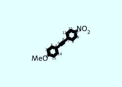 COc1ccc(C#Cc2ccc([N+](=O)[O-])cc2)cc1